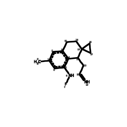 Cc1cc2c(c(NF)c1)C(CC=N)C1(CC2)CC1